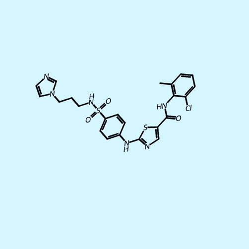 Cc1cccc(Cl)c1NC(=O)c1cnc(Nc2ccc(S(=O)(=O)NCCCn3ccnc3)cc2)s1